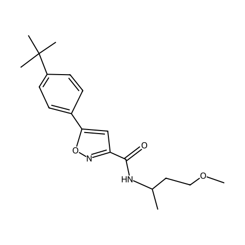 COCCC(C)NC(=O)c1cc(-c2ccc(C(C)(C)C)cc2)on1